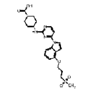 CS(=O)(=O)CCCOc1cccc2c1ccn2-c1ccnc(N[C@H]2CC[C@H](C(=O)O)CC2)n1